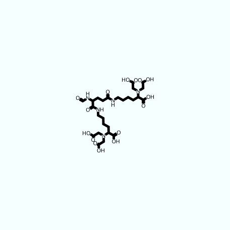 O=CNC(CCC(=O)NCCCCC(C(=O)O)N(CC(=O)O)CC(=O)O)C(=O)NCCCCC(C(=O)O)N(CC(=O)O)CC(=O)O